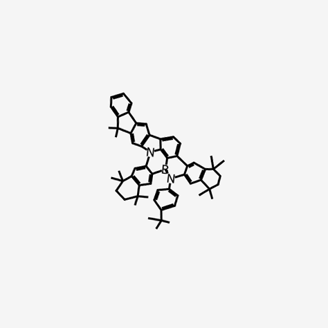 CC(C)(C)c1ccc(N2B3c4cc5c(cc4-n4c6cc7c(cc6c6ccc(c3c64)-c3cc4c(cc32)C(C)(C)CCC4(C)C)-c2ccccc2C7(C)C)C(C)(C)CCC5(C)C)cc1